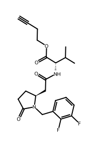 C#CCCOC(=O)[C@@H](NC(=O)C[C@@H]1CCC(=O)N1Cc1cccc(F)c1F)C(C)C